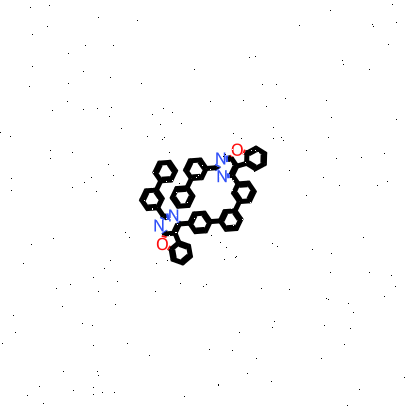 c1ccc(-c2cccc(-c3nc(-c4ccc(-c5cccc(-c6cccc(-c7nc(-c8cccc(-c9ccccc9)c8)nc8oc9ccccc9c78)c6)c5)cc4)c4c(n3)oc3ccccc34)c2)cc1